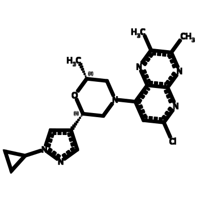 Cc1nc2nc(Cl)cc(N3C[C@@H](C)O[C@@H](c4cnn(C5CC5)c4)C3)c2nc1C